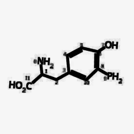 NC(Cc1ccc(O)c(P)c1)C(=O)O